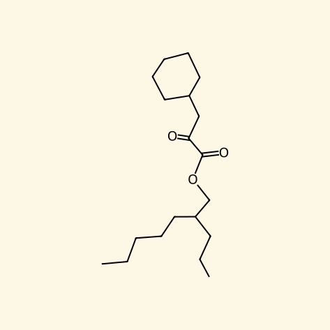 CCCCCC(CCC)COC(=O)C(=O)CC1CCCCC1